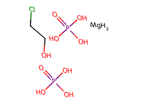 O=P(O)(O)O.O=P(O)(O)O.OCCCl.[MgH2]